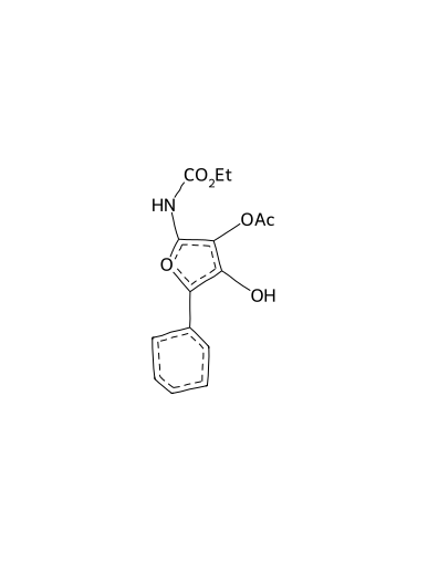 CCOC(=O)Nc1oc(-c2ccccc2)c(O)c1OC(C)=O